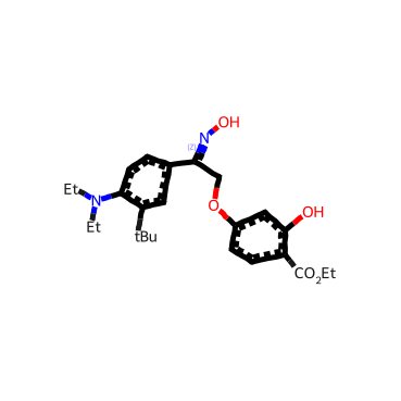 CCOC(=O)c1ccc(OC/C(=N\O)c2ccc(N(CC)CC)c(C(C)(C)C)c2)cc1O